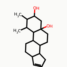 CC1C(O)CC2(O)CCC3C4CC=CC4CCC3C2C1C